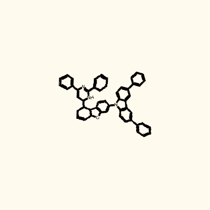 C1=CCCC(C2=NC(c3ccccc3)=CC(C3CC=CC4Oc5cc(-n6c7ccc(-c8ccccc8)cc7c7cc(-c8ccccc8)ccc76)ccc5C43)N2)=C1